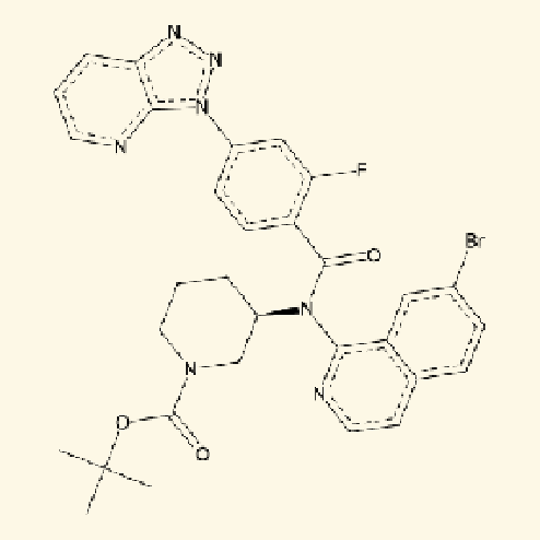 CC(C)(C)OC(=O)N1CCC[C@@H](N(C(=O)c2ccc(-n3nnc4cccnc43)cc2F)c2nccc3ccc(Br)cc23)C1